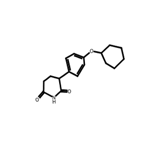 O=C1CCC(c2ccc(OC3CCCCC3)cc2)C(=O)N1